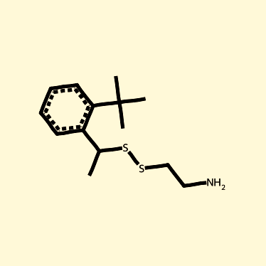 CC(SSCCN)c1ccccc1C(C)(C)C